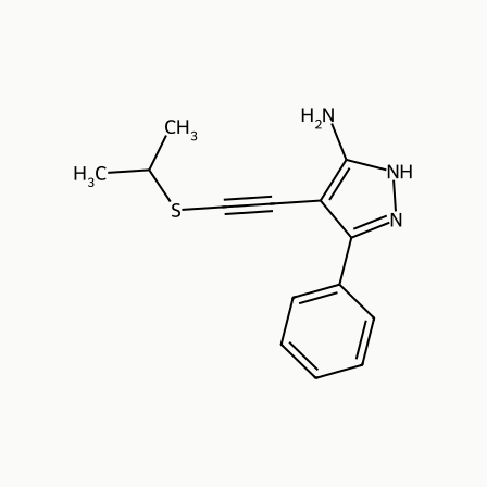 CC(C)SC#Cc1c(-c2ccccc2)n[nH]c1N